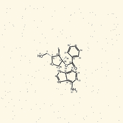 C[C@@H]1[C@@H](CO)O[C@@H](n2cnc3c(N)ncnc32)[C@]1(C)OC(=O)c1ccccc1